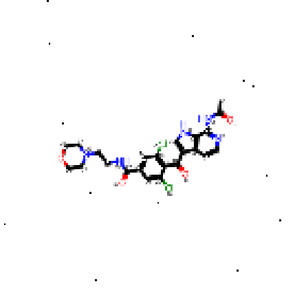 CC(=O)Nc1nccc2c(C(=O)c3c(Cl)cc(C(=O)NCCN4CCOCC4)cc3Cl)c[nH]c12